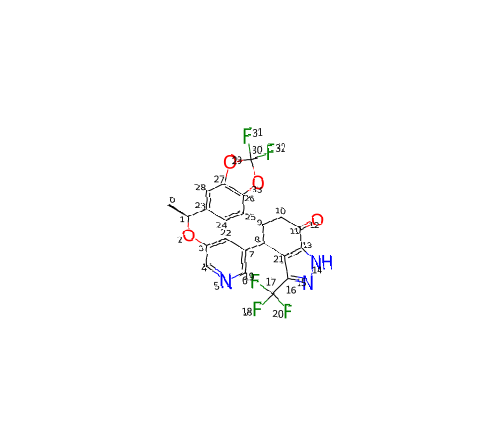 C[C@H](Oc1cncc(C2CCC(=O)c3[nH]nc(C(F)(F)F)c32)c1)c1ccc2c(c1)OC(F)(F)O2